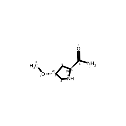 CO[C@H]1CN[C@H](C(N)=O)C1